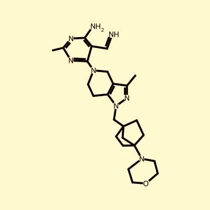 Cc1nc(N)c(C=N)c(N2CCc3c(c(C)nn3CC34CCC(N5CCOCC5)(CC3)C4)C2)n1